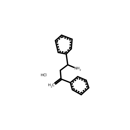 C=C(CC(N)c1ccccc1)c1ccccc1.Cl